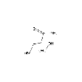 CCCCCCC(N)=O.O=CO